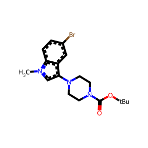 Cn1cc(N2CCN(C(=O)OC(C)(C)C)CC2)c2cc(Br)ccc21